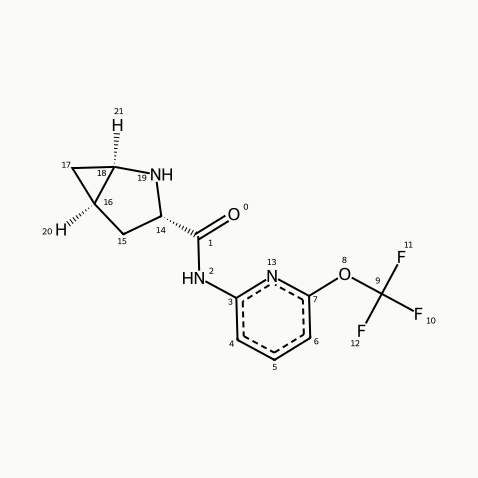 O=C(Nc1cccc(OC(F)(F)F)n1)[C@@H]1C[C@H]2C[C@H]2N1